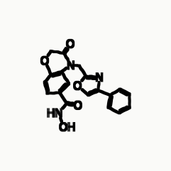 O=C(NO)c1ccc2c(c1)N(Cc1nc(-c3ccccc3)co1)C(=O)CO2